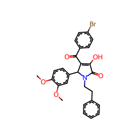 COc1ccc(C2C(C(=O)c3ccc(Br)cc3)=C(O)C(=O)N2CCc2ccccc2)cc1OC